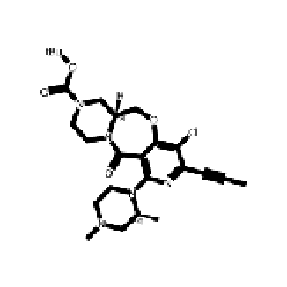 CC#Cc1nc(N2CCN(C)C[C@@H]2C)c2c(c1Cl)OC[C@H]1CN(C(=O)OC(C)(C)C)CCN1C2=O